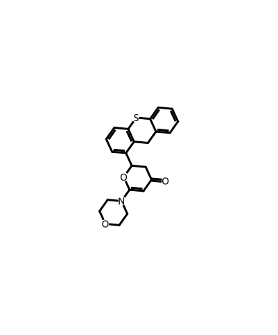 O=C1C=C(N2CCOCC2)OC(c2cccc3c2Cc2ccccc2S3)C1